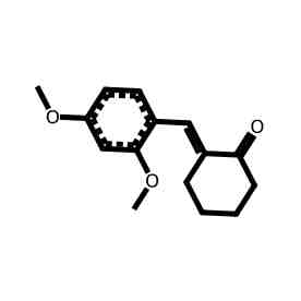 COc1ccc(C=C2CCCCC2=O)c(OC)c1